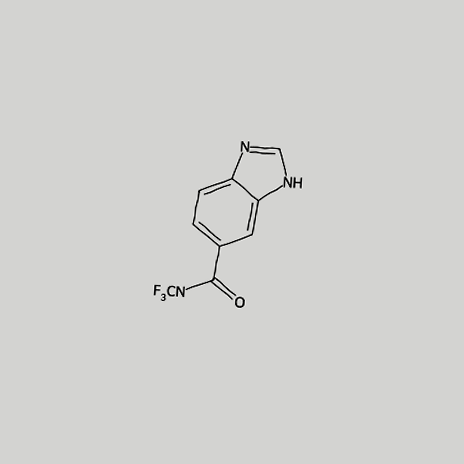 O=C(NC(F)(F)F)c1ccc2nc[nH]c2c1